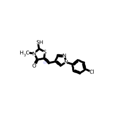 CN1C(=O)/C(=C/c2cnn(-c3ccc(Cl)cc3)c2)SC1S